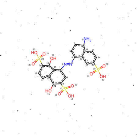 Nc1ccc(N=Nc2cc(S(=O)(=O)O)c(O)c3ccc(S(=O)(=O)O)c(O)c23)c2cc(S(=O)(=O)O)ccc12